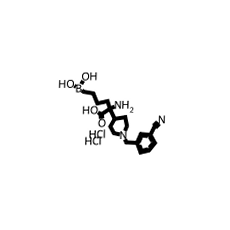 Cl.Cl.N#Cc1cccc(CN2CCC(C(N)(CCCCB(O)O)C(=O)O)CC2)c1